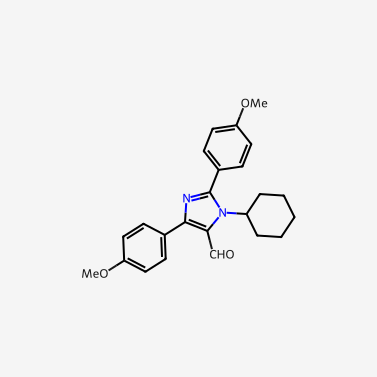 COc1ccc(-c2nc(-c3ccc(OC)cc3)n(C3CCCCC3)c2C=O)cc1